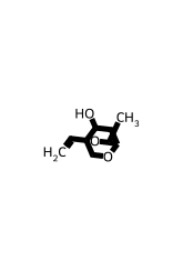 C=CC12COC(CC1O)C(C)O2